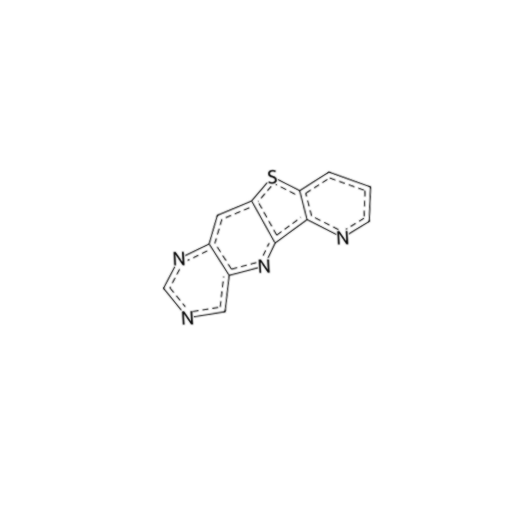 c1cnc2c(c1)sc1cc3ncncc3nc12